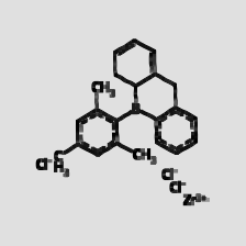 Cc1cc(C)c(B2c3ccccc3CC3=CC=CCC23)c(C)c1.[Cl-].[Cl-].[Cl-].[Zr+3]